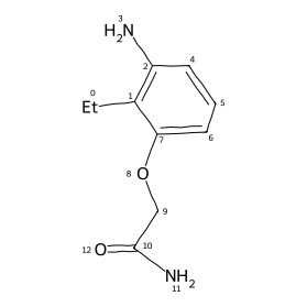 CCc1c(N)cccc1OCC(N)=O